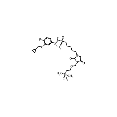 C[C@@H](NS(=O)(=O)CCCCCN1CC(=O)N(COCC[Si](C)(C)C)C1=O)c1ccc(F)c(OCC2CC2)c1